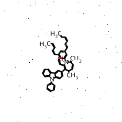 C=C/C=C\C=Cc1cc(/C=C\C=C/C)cc(N2C(=C)C=CC(C)C(c3ccc4c(c3)c3ccccc3n4-c3ccccc3)=C2/C=C\C)c1